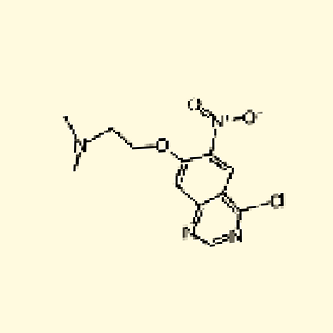 CN(C)CCOc1cc2ncnc(Cl)c2cc1[N+](=O)[O-]